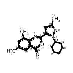 Cc1cc(C)c2nc(-c3cc(C)nn3C3CCCCC3)oc(=O)c2c1